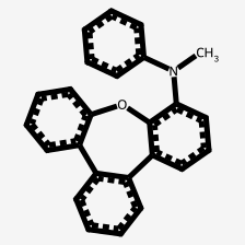 CN(c1ccccc1)c1cccc2c1Oc1ccccc1-c1ccccc1-2